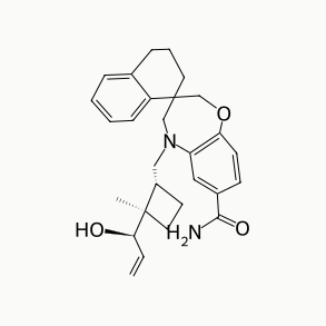 C=C[C@@H](O)[C@]1(C)CC[C@H]1CN1CC2(CCCc3ccccc32)COc2ccc(C(N)=O)cc21